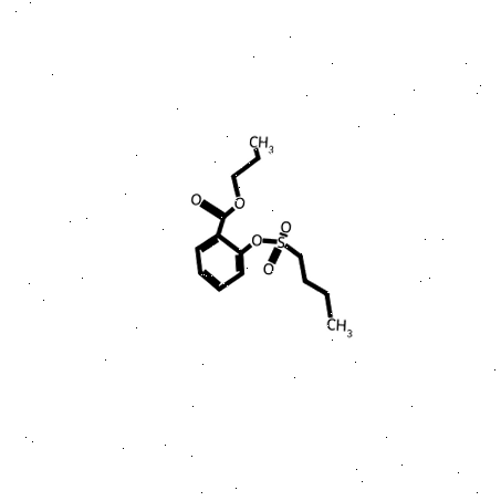 CCCCS(=O)(=O)Oc1ccccc1C(=O)OCCC